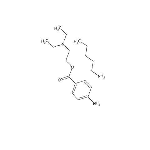 CCCCCN.CCN(CC)CCOC(=O)c1ccc(N)cc1